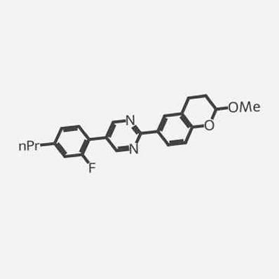 CCCc1ccc(-c2cnc(-c3ccc4c(c3)CCC(OC)O4)nc2)c(F)c1